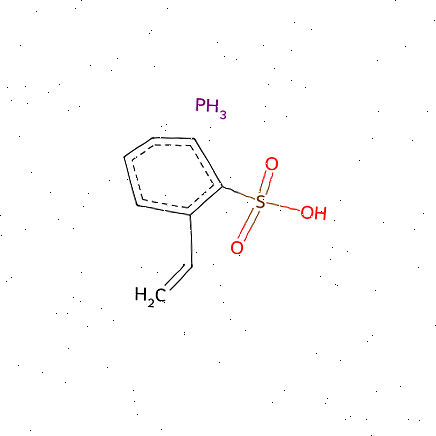 C=Cc1ccccc1S(=O)(=O)O.P